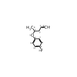 [CH]=CCC(C)Oc1ccc(F)cc1